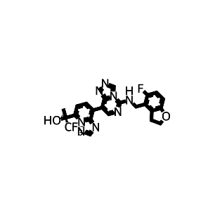 C[C@@](O)(c1ccc(-c2cnc(NCc3c(F)ccc4c3CCO4)n3cnnc23)c2ncnn12)C(F)(F)F